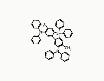 Cc1cc2c(cc1N(c1ccccc1)c1ccccc1)-c1cc(N(c3ccccc3)c3ccccc3)c(C)cc1[Si]2(c1ccccc1)c1ccccc1